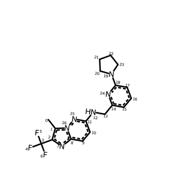 Cc1c(C(F)(F)F)nc2ccc(NCc3cccc(N4CCCC4)n3)nn12